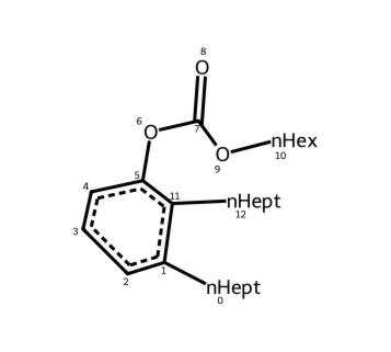 CCCCCCCc1cccc(OC(=O)OCCCCCC)c1CCCCCCC